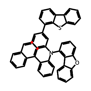 c1cc(-c2cccc3c2sc2ccccc23)cc(N(c2ccccc2-c2cccc3ccccc23)c2cccc3oc4ccccc4c23)c1